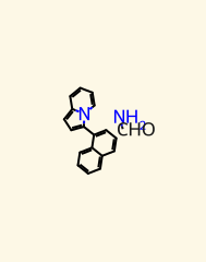 NC=O.c1ccc2c(-c3ccc4ccccn34)cccc2c1